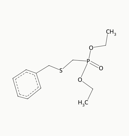 CCOP(=O)(CSCc1ccccc1)OCC